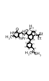 CCCc1cc(C)[nH]c(=O)c1CNC(=O)c1cc(-c2cccc(CN(C)C)c2)cc2c1c(C)cn2C(CC)CC